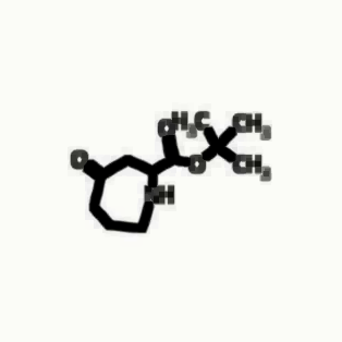 CC(C)(C)OC(=O)C1CC(=O)CCCN1